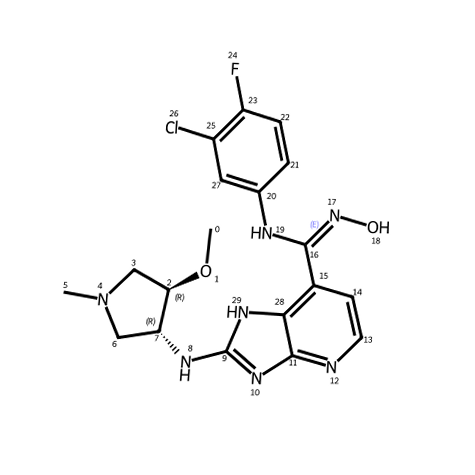 CO[C@@H]1CN(C)C[C@H]1Nc1nc2nccc(/C(=N\O)Nc3ccc(F)c(Cl)c3)c2[nH]1